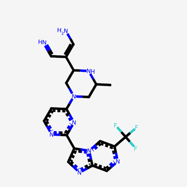 CC1CN(c2ccnc(-c3cnc4cnc(C(F)(F)F)cn34)n2)CC(/C(C=N)=C/N)N1